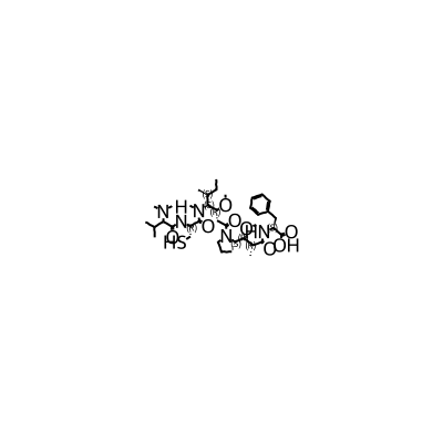 CC[C@H](C)[C@@H]([C@@H](CC(=O)N1CCC[C@H]1[C@H](OC)[C@@H](C)C(=O)N[C@@H](Cc1ccccc1)C(=O)O)OC)N(C)C(=O)[C@H](CS)NC(=O)C(C(C)C)N(C)C